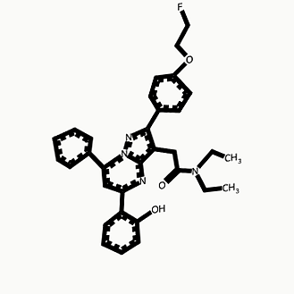 CCN(CC)C(=O)Cc1c(-c2ccc(OCCF)cc2)nn2c(-c3ccccc3)cc(-c3ccccc3O)nc12